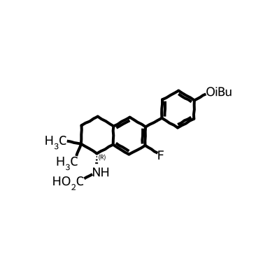 CC(C)COc1ccc(-c2cc3c(cc2F)[C@H](NC(=O)O)C(C)(C)CC3)cc1